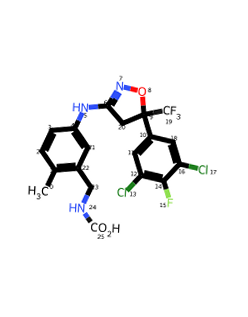 Cc1ccc(NC2=NOC(c3cc(Cl)c(F)c(Cl)c3)(C(F)(F)F)C2)cc1CNC(=O)O